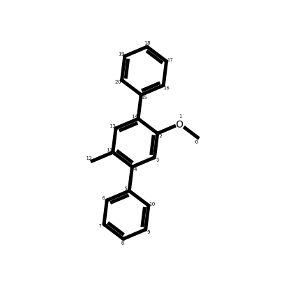 COc1cc(-c2ccccc2)c(C)cc1-c1ccccc1